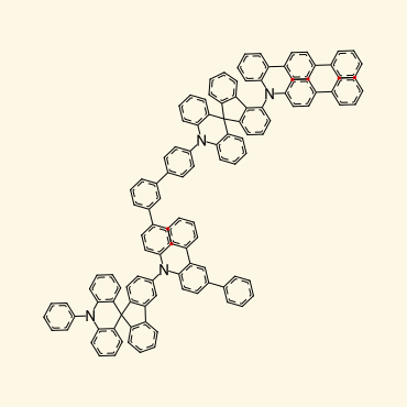 c1ccc(-c2ccc(-c3ccccc3N(c3ccc(-c4ccccc4)cc3)c3cccc4c3-c3ccccc3C43c4ccccc4N(c4ccc(-c5cccc(-c6ccc(N(c7ccc8c(c7)-c7ccccc7C87c8ccccc8N(c8ccccc8)c8ccccc87)c7ccc(-c8ccccc8)cc7-c7ccccc7)cc6)c5)cc4)c4ccccc43)cc2)cc1